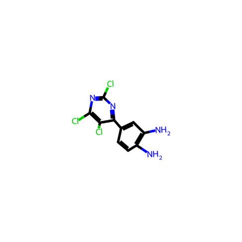 Nc1ccc(-c2nc(Cl)nc(Cl)c2Cl)cc1N